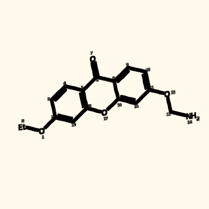 CCOc1ccc2c(=O)c3ccc(OCN)cc3oc2c1